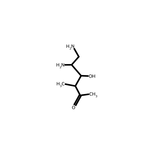 CC(=O)C(C)C(O)C(N)CN